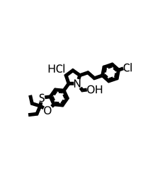 CCC1(CC)Oc2ccc(C3CCC(CCc4ccc(Cl)cc4)N3CO)cc2S1.Cl